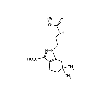 CC1(C)CCc2c(C(=O)O)nn(CCNC(=O)OC(C)(C)C)c2C1